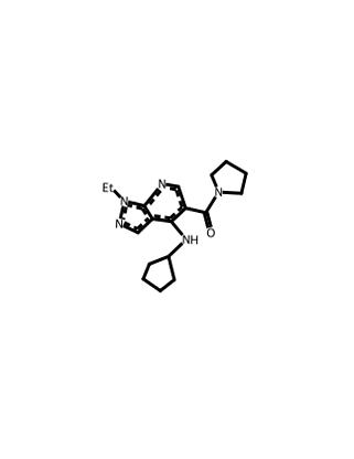 CCn1ncc2c(NC3CCCC3)c(C(=O)N3CCCC3)cnc21